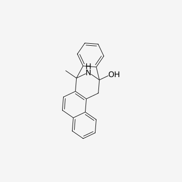 CC12NC(O)(Cc3c1ccc1ccccc31)c1ccccc12